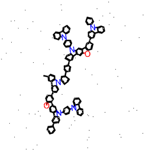 Cc1ccc2c(c1)c1cc(-c3ccc4oc5cc6c7cc(-c8ccccc8)ccc7n(-c7ccc(-n8c9ccccc9c9ccccc98)cc7)c6cc5c4c3)ccc1n2-c1cccc(-c2ccc(-c3ccc4c(c3)c3cc5oc6ccc(-c7ccc8c(c7)c7ccccc7n8-c7ccccc7)cc6c5cc3n4-c3ccc(-n4c5ccccc5c5ccccc54)cc3)cc2)c1